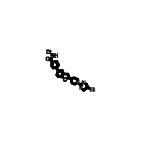 CCNC(=O)c1ccc(-c2ccc3c(c2)CC(C2CCN(c4ncc(CC)cn4)CC2)O3)cc1